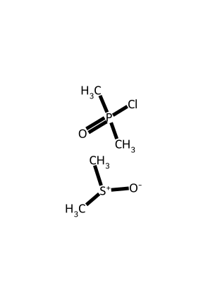 CP(C)(=O)Cl.C[S+](C)[O-]